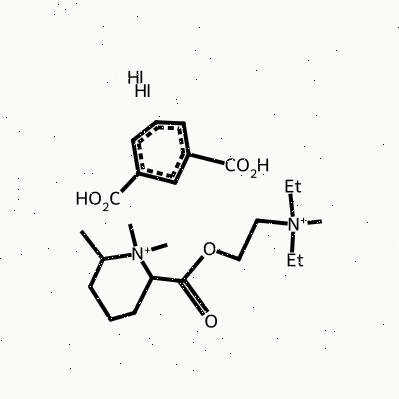 CC[N+](C)(CC)CCOC(=O)C1CCCC(C)[N+]1(C)C.I.I.O=C(O)c1cccc(C(=O)O)c1